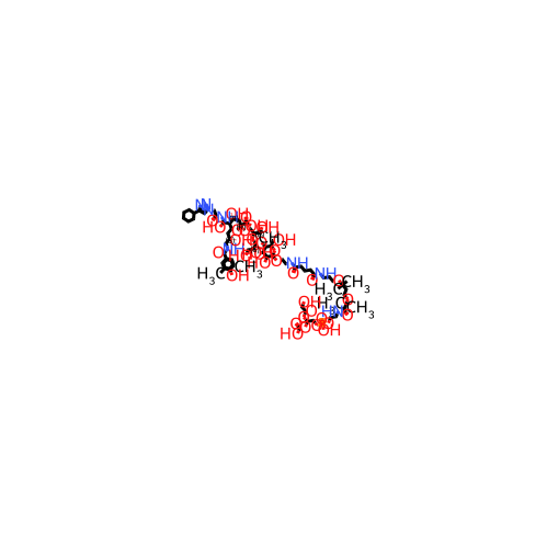 Cc1cc(C(=O)NC[C@@H](O)CC2O[C@@](OCC(OC(OC3C(CO)OC(OCCNC(=O)CCCC(=O)NCCCOC(C)(C)CCOC(C)(C)C(=O)NCCOP(=O)(O)OCC(OC(=O)O)OC(=O)CO)C(O)C3O)[C@@H](O)CO)[C@@H](C)O)(C(=O)O)C[C@@H](O)C2C(O)NC(=O)Cn2cc(C3CCCCC3)nn2)cc(C)c1O